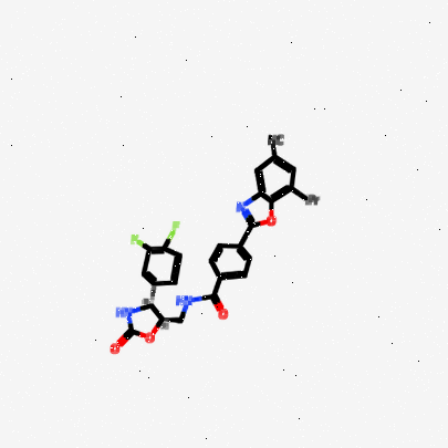 [C-]#[N+]c1cc(C(C)C)c2oc(-c3ccc(C(=O)NC[C@H]4OC(=O)N[C@@H]4c4ccc(F)c(F)c4)cc3)nc2c1